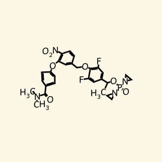 CC(OP(=O)(N1CC1)N1CC1)c1cc(F)c(OCc2ccc([N+](=O)[O-])c(Oc3ccc(C(=O)N(C)C)cc3)c2)c(F)c1